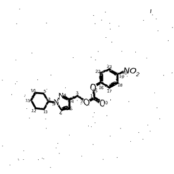 O=C(OCc1ccn(C2CCCCC2)n1)Oc1ccc([N+](=O)[O-])cc1